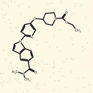 CCOC(=O)N1CCC(Oc2ccc(-n3ccc4cc(C(=O)N(C)C)ccc43)nc2)CC1